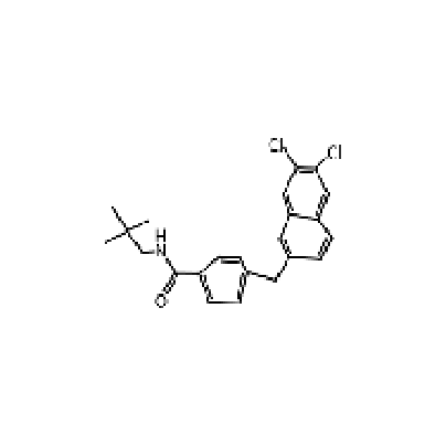 CC(C)(C)CNC(=O)c1ccc(Cc2ccc3cc(Cl)c(Cl)cc3c2)cc1